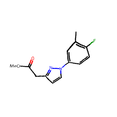 COC(=O)Cc1ccn(-c2ccc(F)c(C)c2)n1